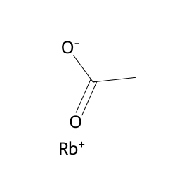 CC(=O)[O-].[Rb+]